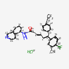 Cl.N#Cc1cc(C(=CC=CC(=O)Nc2cccc3cnccc23)c2ccc(C(F)(F)F)cc2)ccc1F